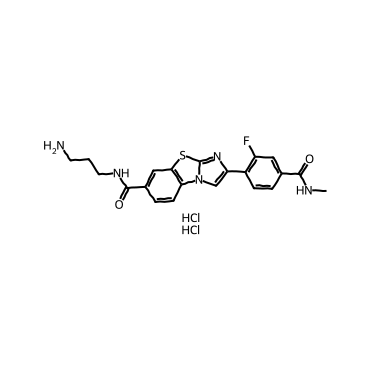 CNC(=O)c1ccc(-c2cn3c(n2)sc2cc(C(=O)NCCCN)ccc23)c(F)c1.Cl.Cl